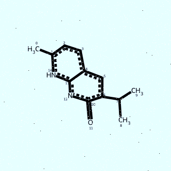 Cc1ccc2cc(C(C)C)c(=O)nc-2[nH]1